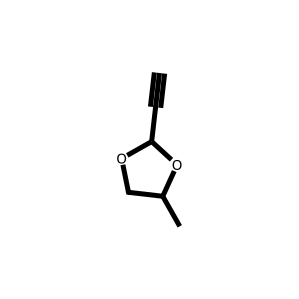 C#CC1OCC(C)O1